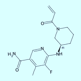 C=CC(=O)N1CCC[C@@H](Nc2ncc(C(N)=O)c(C)c2F)C1